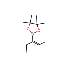 C/C=C(/CC)B1OC(C)(C)C(C)(C)O1